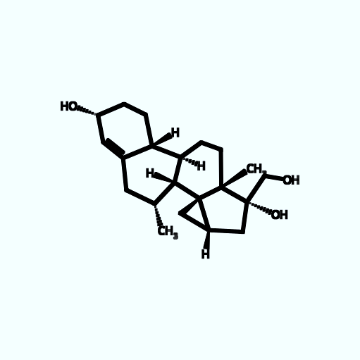 C[C@@H]1CC2=C[C@H](O)CC[C@@H]2[C@H]2CC[C@]3(C)[C@@](O)(CO)C[C@@H]4C[C@]43[C@@H]21